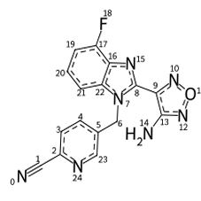 N#Cc1ccc(Cn2c(-c3nonc3N)nc3c(F)cccc32)cn1